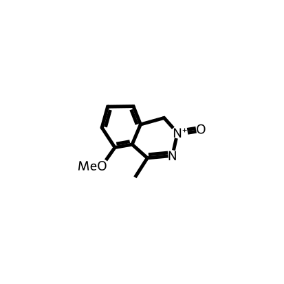 COc1cccc2c1C(C)=N[N+](=O)C2